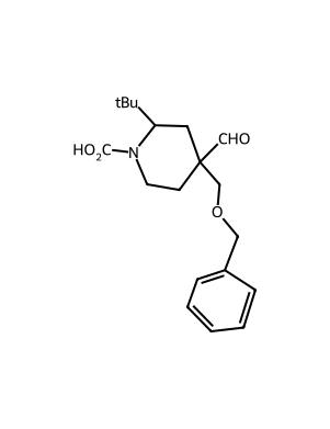 CC(C)(C)C1CC(C=O)(COCc2ccccc2)CCN1C(=O)O